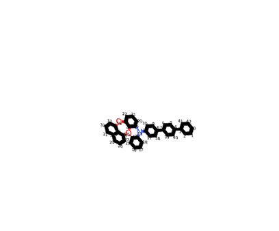 c1ccc(-c2ccc(-c3ccc(N(c4ccccc4)c4cccc5c4Oc4cccc6cccc(c46)O5)cc3)cc2)cc1